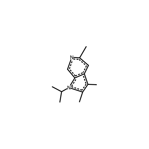 Cc1cc2c(C)c(C)n(C(C)C)c2cn1